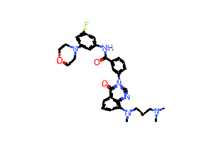 CN(C)CCCN(C)c1cccc2c(=O)n(-c3cccc(C(=O)Nc4cc(F)cc(N5CCOCC5)c4)c3)cnc12